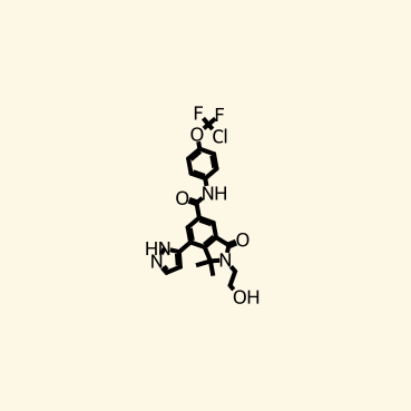 CC1(C)c2c(cc(C(=O)Nc3ccc(OC(F)(F)Cl)cc3)cc2-c2ccn[nH]2)C(=O)N1CCO